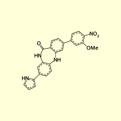 COc1cc(-c2ccc3c(c2)Nc2ccc(-c4ccc[nH]4)cc2NC3=O)ccc1[N+](=O)[O-]